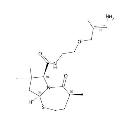 C/C(=C\N)COCCNC(=O)[C@H]1N2C(=O)[C@@H](C)CCS[C@H]2CC1(C)C